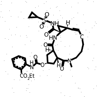 CCOC(=O)c1ccccc1NC(=O)O[C@@H]1C[C@H]2C(=O)N[C@]3(C(=O)NS(=O)(=O)C4CC4)C[C@H]3/C=C\CCCCN(C)C(=O)[C@@H]2C1